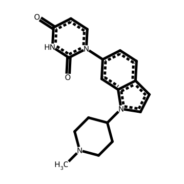 CN1CCC(n2ccc3ccc(-n4ccc(=O)[nH]c4=O)cc32)CC1